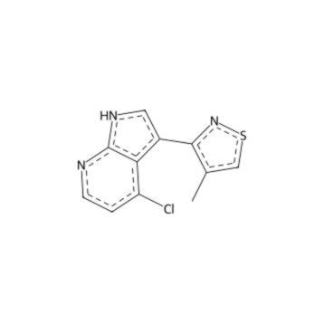 Cc1csnc1-c1c[nH]c2nccc(Cl)c12